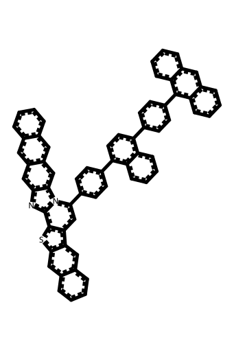 c1ccc2cc3cc4c(cc3cc2c1)nc1c2sc3cc5ccccc5cc3c2cc(-c2ccc(-c3ccc(-c5ccc(-c6c7ccccc7cc7ccccc67)cc5)c5ccccc35)cc2)n41